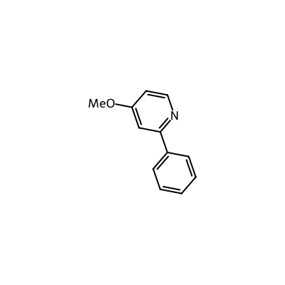 COc1ccnc(-c2ccccc2)c1